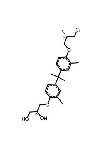 Cc1cc(C(C)(C)c2ccc(OC[C@@H](O)CO)c(C)c2)ccc1OC[C@H](C)CCl